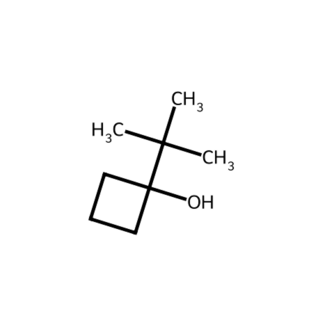 CC(C)(C)C1(O)CCC1